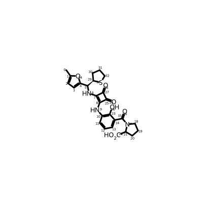 Cc1ccc(C(Nc2c(Nc3cccc(C(=O)N4CCCC4C(=O)O)c3O)c(=O)c2=O)[C@H]2CCCS2)o1